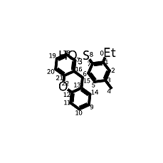 CCc1cc(C)ccc1S(=O)(=O)O.c1ccc2c(c1)Cc1ccccc1O2